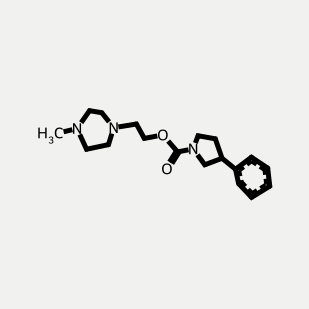 CN1CCN(CCOC(=O)N2CCC(c3ccccc3)C2)CC1